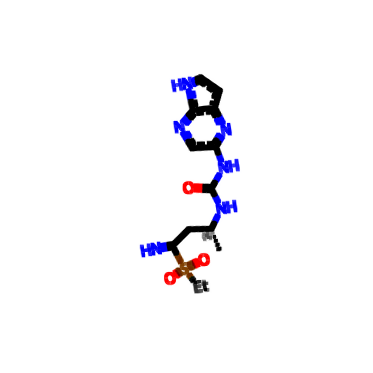 CCS(=O)(=O)C(=N)C[C@@H](C)NC(=O)Nc1cnc2[nH]ccc2n1